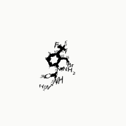 NNC(=O)N(N)c1cccc(C(F)(F)F)c1CBr